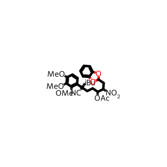 CCC(C)C(C#N)(CCC(OC(C)=O)C(CC1Oc2ccccc2O1)[N+](=O)[O-])c1ccc(OC)c(OC)c1OC